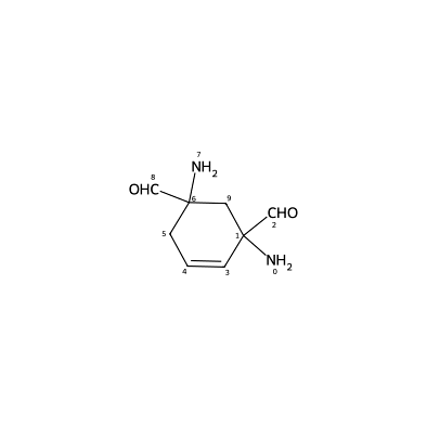 NC1(C=O)C=CCC(N)(C=O)C1